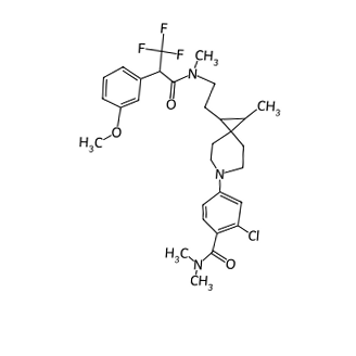 COc1cccc(C(C(=O)N(C)CCC2C(C)C23CCN(c2ccc(C(=O)N(C)C)c(Cl)c2)CC3)C(F)(F)F)c1